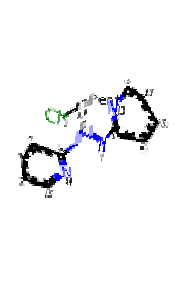 CCCCCCl.c1ccc(N=Nc2ccccn2)nc1